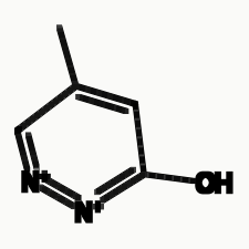 CC1=CC(O)=[N+]=[N+]=C1